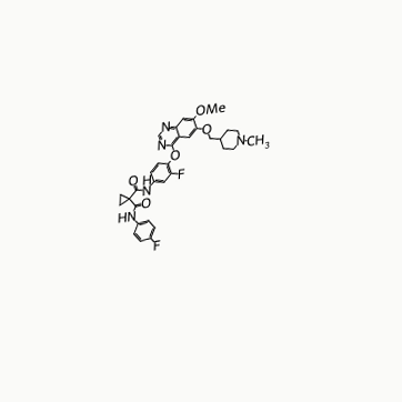 COc1cc2ncnc(Oc3ccc(NC(=O)C4(C(=O)Nc5ccc(F)cc5)CC4)cc3F)c2cc1OCC1CCN(C)CC1